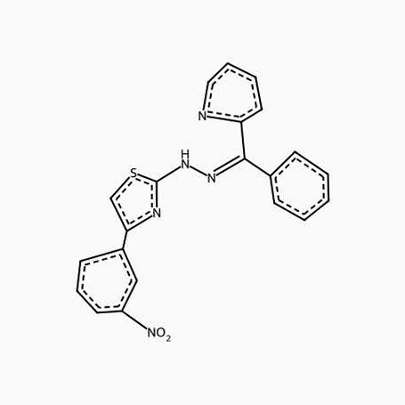 O=[N+]([O-])c1cccc(-c2csc(NN=C(c3ccccc3)c3ccccn3)n2)c1